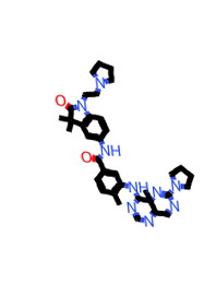 Cc1ccc(C(=O)Nc2ccc3c(c2)C(C)(C)C(=O)N3CCN2CCCC2)cc1NC1N=CN=C2C=NC(N3CCCC3)=NC21C